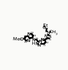 CCOCCN(C)c1nc(-c2ccc3nnc(CNc4ccnc5cc(OC)cnc45)n3n2)cs1